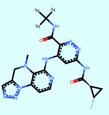 [2H]C([2H])([2H])NC(=O)c1nnc(NC(=O)[C@H]2C[C@@H]2F)cc1Nc1nccc2c1N(C)Cc1cnnn1-2